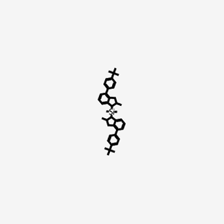 CC1Cc2c(-c3ccc(C(C)(C)C)cc3)cccc2C1[Si](C)(C)C1c2cccc(-c3ccc(C(C)(C)C)cc3)c2CC1C